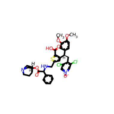 COc1ccc([C@@H](Cc2c(Cl)c[n+]([O-])cc2Cl)c2cc(CNC(C(=O)O[C@H]3CN4CCC3CC4)c3ccccc3)sc2C(=O)O)cc1OC